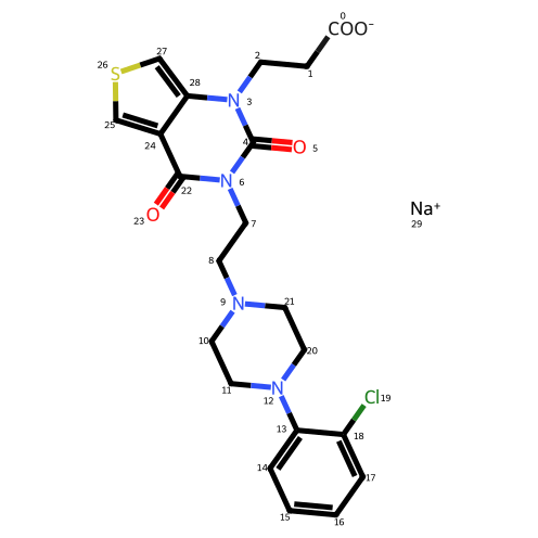 O=C([O-])CCn1c(=O)n(CCN2CCN(c3ccccc3Cl)CC2)c(=O)c2cscc21.[Na+]